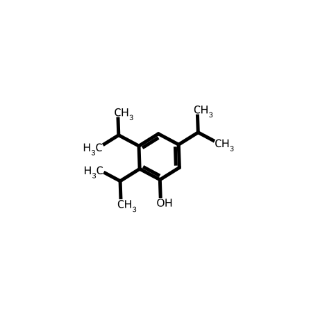 CC(C)c1cc(O)c(C(C)C)c(C(C)C)c1